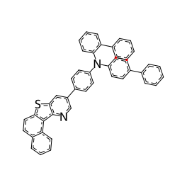 c1ccc(-c2ccc(N(c3ccc(-c4cnc5c(c4)sc4ccc6ccccc6c45)cc3)c3ccccc3-c3ccccc3)cc2)cc1